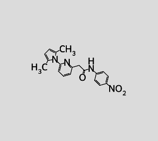 Cc1ccc(C)n1-c1cccc(CC(=O)Nc2ccc([N+](=O)[O-])cc2)n1